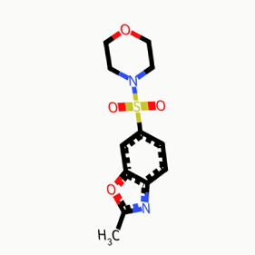 Cc1nc2ccc(S(=O)(=O)N3CCOCC3)cc2o1